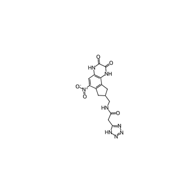 O=C(Cc1nnn[nH]1)NCC1Cc2c([N+](=O)[O-])cc3[nH]c(=O)c(=O)[nH]c3c2C1